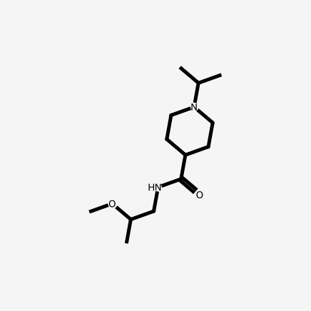 COC(C)CNC(=O)C1CCN(C(C)C)CC1